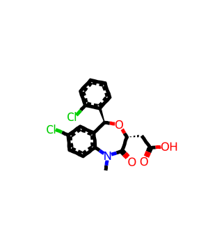 CN1C(=O)[C@@H](CC(=O)O)O[C@H](c2ccccc2Cl)c2cc(Cl)ccc21